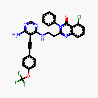 Nc1ncnc(NCCc2nc3cccc(Cl)c3c(=O)n2-c2ccccc2)c1C#Cc1ccc(OC(F)(F)F)cc1